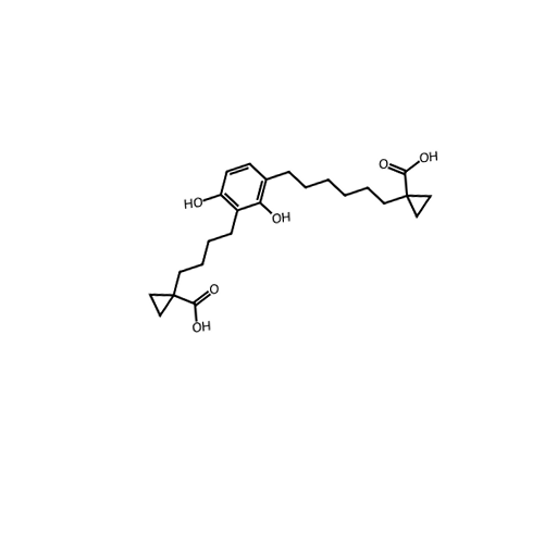 O=C(O)C1(CCCCCCc2ccc(O)c(CCCCC3(C(=O)O)CC3)c2O)CC1